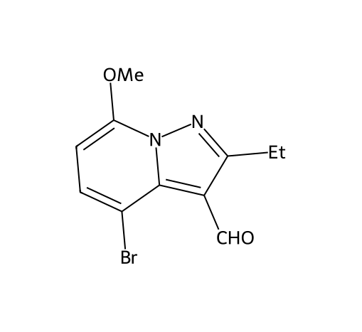 CCc1nn2c(OC)ccc(Br)c2c1C=O